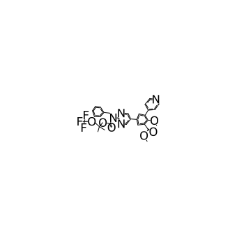 COC(=O)c1cc(-c2cnc(N(Cc3cccc(OC(F)(F)F)c3)C(=O)OC(C)(C)C)nc2)cc(-c2ccncc2)c1OC